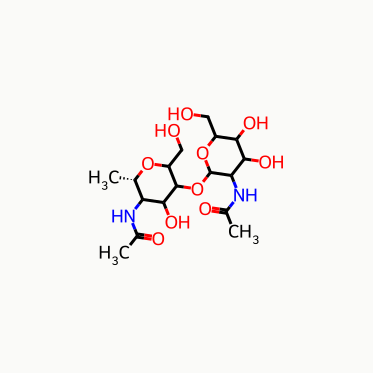 CC(=O)NC1C(OC2C(CO)O[C@@H](C)C(NC(C)=O)C2O)OC(CO)C(O)C1O